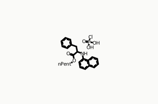 CCCCCOC(=O)C(Cc1ccccc1)Nc1cccc2ccccc12.O=P(O)(O)Cl